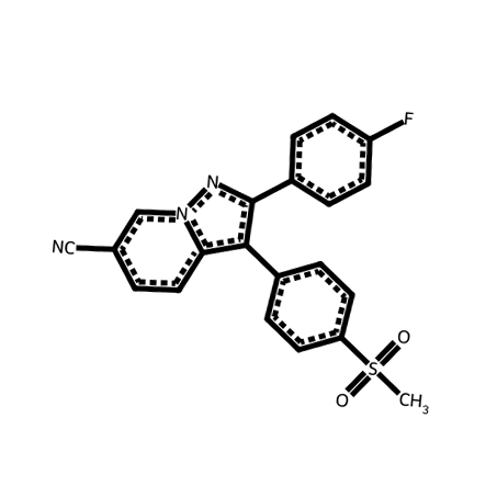 CS(=O)(=O)c1ccc(-c2c(-c3ccc(F)cc3)nn3cc(C#N)ccc23)cc1